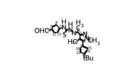 C/C(=N\NC(=S)Nc1ccc(C=O)cc1)c1nn(C)c(-c2ccc(C(C)(C)C)cc2)c1O